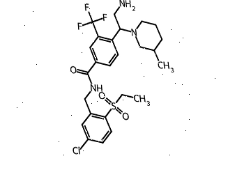 CCS(=O)(=O)c1ccc(Cl)cc1CNC(=O)c1ccc(C(CN)N2CCCC(C)C2)c(C(F)(F)F)c1